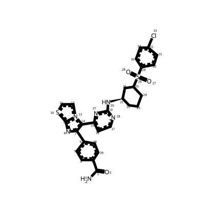 NC(=O)c1ccc(-c2nc3sccn3c2-c2ccnc(N[C@@H]3CCCC(S(=O)(=O)c4ccc(Cl)cc4)C3)n2)cc1